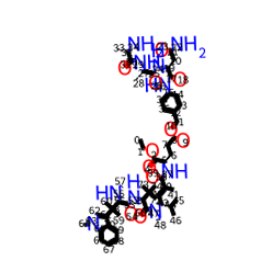 CCOC(=O)[C@@H](CCC(=O)OCc1ccc(NC(=O)[C@H](CC(N)=O)NC(=O)[C@H](C)NC(=O)[C@H](C)N)cc1)NC(=O)/C(C)=C/[C@H](C(C)C)N(C)C(=O)[C@@H](NC(=O)[C@@H](NC)C(C)(C)c1cn(C)c2ccccc12)C(C)(C)C